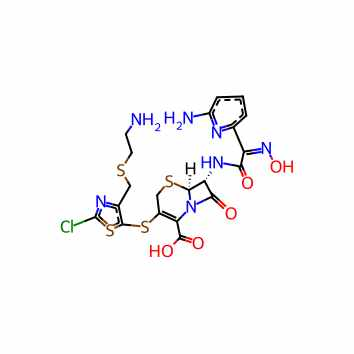 NCCSCc1nc(Cl)sc1SC1=C(C(=O)O)N2C(=O)[C@@H](NC(=O)/C(=N\O)c3cccc(N)n3)[C@@H]2SC1